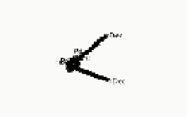 CCCCCCCCCCCCCCCCCCCCCCCCCCCC=Cc1cccc(N=C(CCCC)C(CCCCCCCCCCCC)=Nc2cccc(C=CCCCCCCCCCCCCCCCCCCCCCCCCCCC)c2)c1.[Pd]